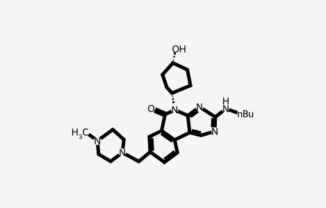 CCCCNc1ncc2c3ccc(CN4CCN(C)CC4)cc3c(=O)n([C@H]3CC[C@@H](O)CC3)c2n1